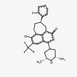 C[C@@H]1CN(c2nc(=O)n3c4c(c(Cl)c(C(F)(F)F)cc24)SC[C@@H](c2ccncc2F)C3)C[C@H](C)N1